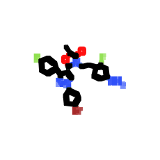 C[C@@H]1O[C@H](c2cn(-c3ccc(Br)cc3)nc2-c2ccc(F)cc2)N(CCc2ccc(N)cc2F)C1=O